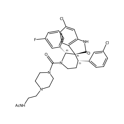 CC(=O)NCCN1CCN(C(=O)N2CC[C@@H](c3cccc(Cl)c3)[C@]3(C(=O)Nc4cc(Cl)ccc43)[C@H]2c2cccc(F)c2)CC1